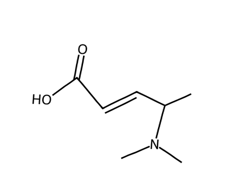 CC(C=CC(=O)O)N(C)C